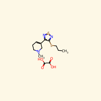 CCCSc1nsnc1C1=CCCN(C)C1.O=C(O)C(=O)O